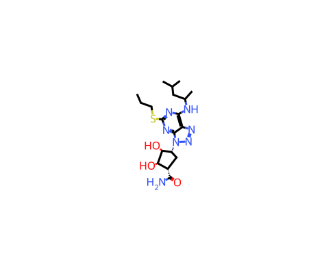 CCCSc1nc(NC(C)CC(C)C)c2nnn([C@@H]3C[C@H](C(N)=O)[C@@H](O)[C@H]3O)c2n1